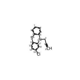 C#CCN1c2ccccc2Sc2ccc(Cl)cc21